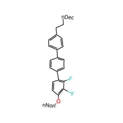 CCCCCCCCCCCCc1ccc(-c2ccc(-c3ccc(OCCCCCCCCC)c(F)c3F)cc2)cc1